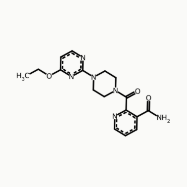 CCOc1ccnc(N2CCN(C(=O)c3ncccc3C(N)=O)CC2)n1